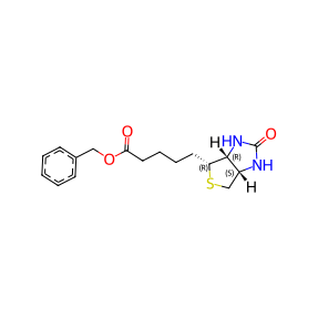 O=C1N[C@@H]2[C@@H](CS[C@@H]2CCCCC(=O)OCc2ccccc2)N1